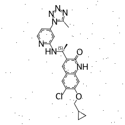 Cc1nnnn1-c1ccnc(N[C@@H](C)c2cc3cc(Cl)c(OCC4CC4)cc3[nH]c2=O)c1